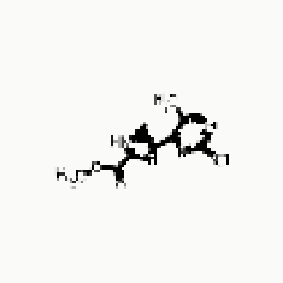 COC(=O)c1nc(-c2nc(Cl)ncc2C)c[nH]1